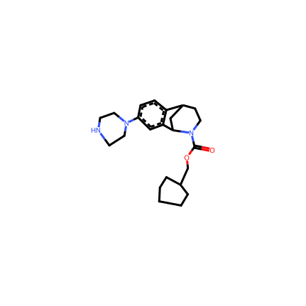 O=C(OCC1CCCCC1)N1CCC2CC1c1cc(N3CCNCC3)ccc12